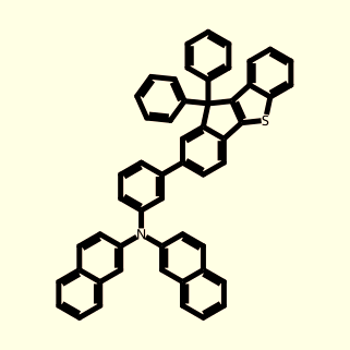 c1ccc(C2(c3ccccc3)c3cc(-c4cccc(N(c5ccc6ccccc6c5)c5ccc6ccccc6c5)c4)ccc3-c3sc4ccccc4c32)cc1